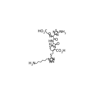 NCCCCCCn1nnnc1SCC1=C(C(=O)O)N2C(=O)C(NC(=O)C(=NOCC(=O)O)c3nsc(N)n3)[C@@H]2SC1